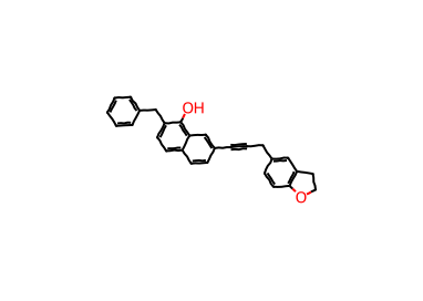 Oc1c(Cc2ccccc2)ccc2ccc(C#CCc3ccc4c(c3)CCO4)cc12